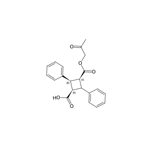 CC(=O)COC(=O)[C@H]1C(c2ccccc2)[C@@H](C(=O)O)[C@H]1c1ccccc1